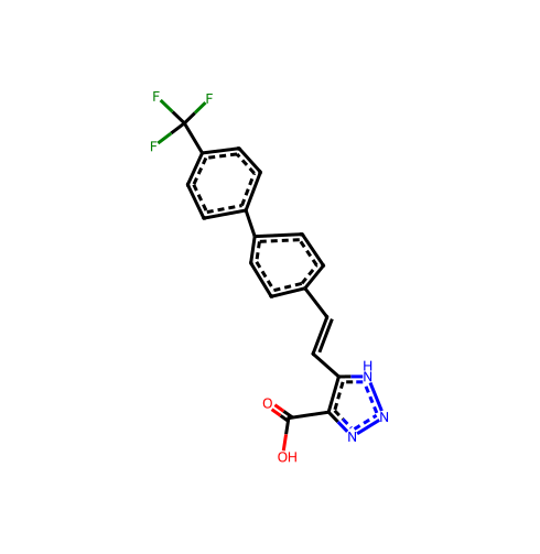 O=C(O)c1nn[nH]c1C=Cc1ccc(-c2ccc(C(F)(F)F)cc2)cc1